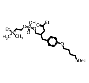 CCCCCCCCCCCCCCOc1ccc(CC(COP(=O)(O)OCC[N+](C)(C)CC)CC(=O)CC)cc1